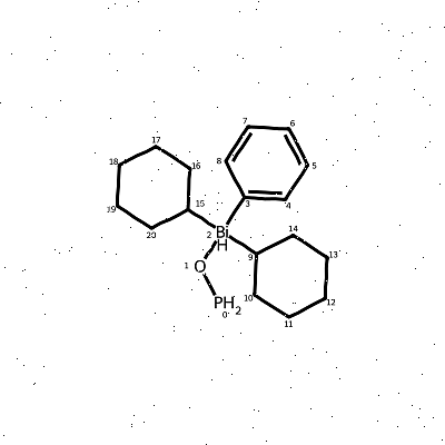 P[O][BiH]([c]1ccccc1)([CH]1CCCCC1)[CH]1CCCCC1